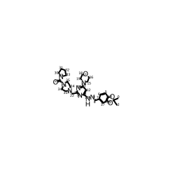 CC1(C)Oc2ccc(/C=N/Nc3cc(N4CCOCC4)nc(CN4CCN(C(=O)N5CCCC5)CC4)n3)cc2O1